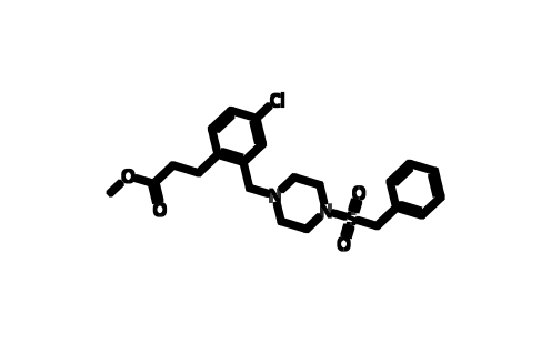 COC(=O)CCc1ccc(Cl)cc1CN1CCN(S(=O)(=O)Cc2ccccc2)CC1